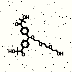 CC(C)(O)C(=O)c1ccc(C(OCCOCCOCCO)c2ccc(C(=O)C(C)(C)O)cc2)cc1